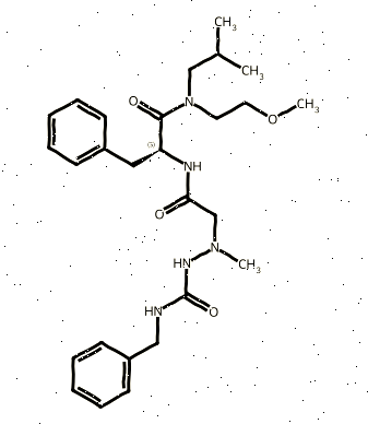 COCCN(CC(C)C)C(=O)[C@H](Cc1ccccc1)NC(=O)CN(C)NC(=O)NCc1ccccc1